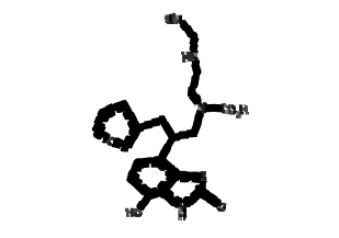 CC(C)(C)CNCCN(CC(Cc1ccccc1)c1ccc(O)c2[nH]c(=O)sc12)C(=O)O